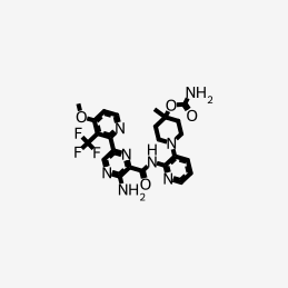 COc1ccnc(-c2cnc(N)c(C(=O)Nc3ncccc3N3CCC(C)(OC(N)=O)CC3)n2)c1C(F)(F)F